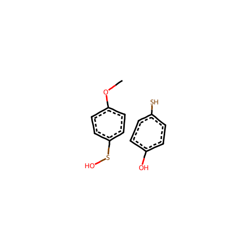 COc1ccc(SO)cc1.Oc1ccc(S)cc1